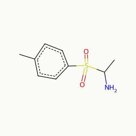 Cc1ccc(S(=O)(=O)C(C)N)cc1